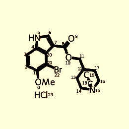 COc1ccc2[nH]cc(C(=O)OCC34CCN(CC3)CC4)c2c1Br.Cl